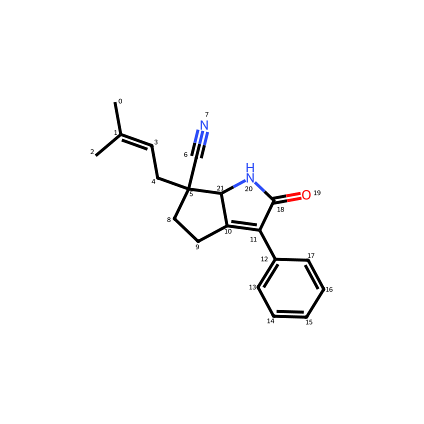 CC(C)=CCC1(C#N)CCC2=C(c3ccccc3)C(=O)NC21